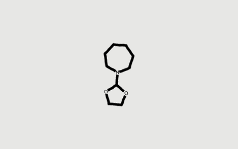 C1CCCN(C2OCCO2)CC1